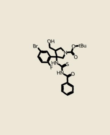 CC(C)(C)OC(=O)N1CC(CO)C(NC(=S)NC(=O)c2ccccc2)(c2cc(Br)ccc2F)C1